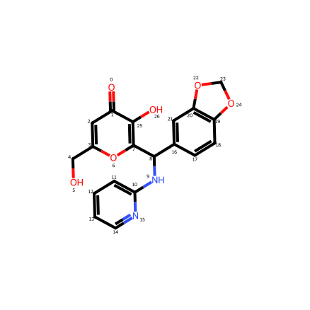 O=c1cc(CO)oc(C(Nc2ccccn2)c2ccc3c(c2)OCO3)c1O